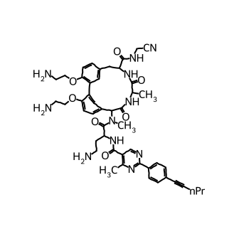 CCCC#Cc1ccc(-c2ncc(C(=O)NC(CCN)C(=O)N(C)C3C(=O)NC(C)C(=O)NC(C(=O)NCC#N)Cc4ccc(OCCN)c(c4)-c4cc3ccc4OCCN)c(C)n2)cc1